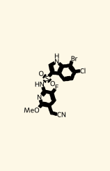 COc1nc(NS(=O)(=O)c2c[nH]c3c(Br)c(Cl)ccc23)c(F)cc1CC#N